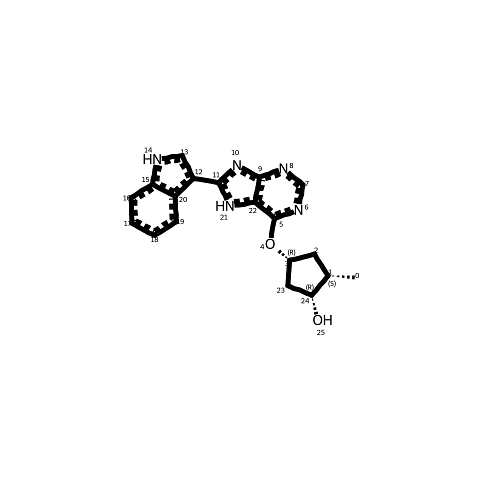 C[C@H]1C[C@@H](Oc2ncnc3nc(-c4c[nH]c5ccccc45)[nH]c23)C[C@H]1O